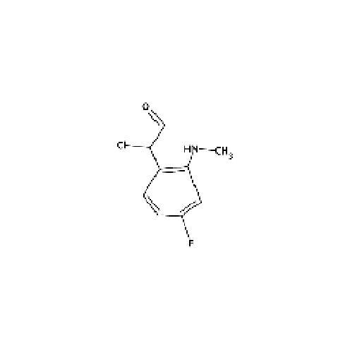 CNc1cc(F)ccc1C(Cl)C=O